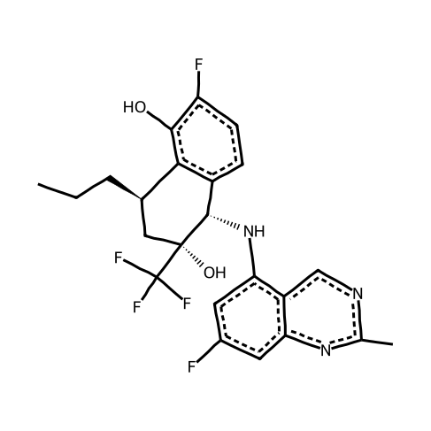 CCC[C@@H]1C[C@](O)(C(F)(F)F)[C@@H](Nc2cc(F)cc3nc(C)ncc23)c2ccc(F)c(O)c21